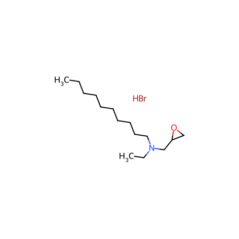 Br.CCCCCCCCCCN(CC)CC1CO1